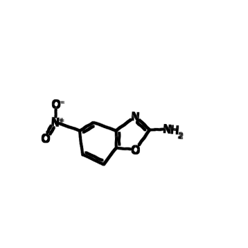 Nc1nc2cc([N+](=O)[O-])ccc2o1